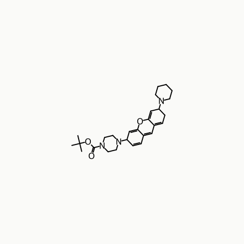 CC(C)(C)OC(=O)N1CCN(C2C=CC3=CC4=CCC(N5CCCCC5)C=C4OC3=C2)CC1